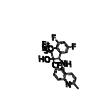 CCSCC(O)(C(Nc1cccc2nc(C)ccc12)c1cc(F)cc(F)c1O)C(F)(F)F